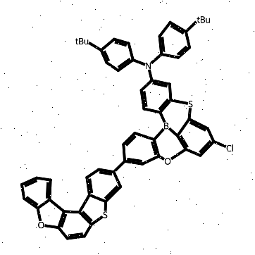 CC(C)(C)c1ccc(N(c2ccc(C(C)(C)C)cc2)c2ccc3c(c2)Sc2cc(Cl)cc4c2B3c2ccc(-c3ccc5c(c3)sc3ccc6oc7ccccc7c6c35)cc2O4)cc1